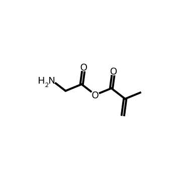 C=C(C)C(=O)OC(=O)CN